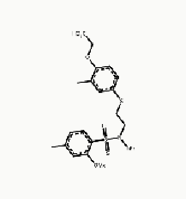 CCCN(CCSc1ccc(OCC(=O)O)c(C)c1)S(=O)(=S)c1ccc(C)cc1OC